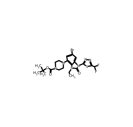 CCn1c(=O)n(-c2nnc(C(F)F)s2)c2cc(Br)cc(N3CCN(C(=O)OC(C)(C)C)CC3)c21